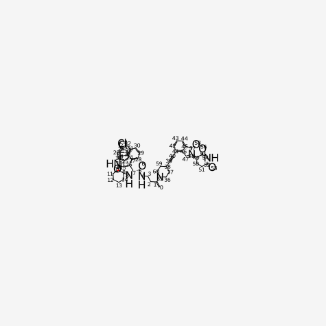 C=C(CCNC(=O)[C@@H]1NC2(CCCCC2)[C@@]2(C(=O)Nc3cc(Cl)ccc32)[C@H]1c1cccc(Cl)c1F)N1CCC(C#Cc2cccc3c2CN(C2CCC(=O)NC2=O)C3=O)CC1